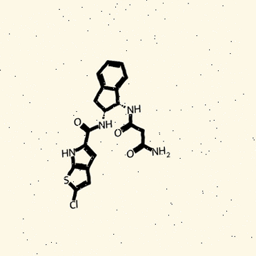 NC(=O)CC(=O)N[C@H]1c2ccccc2C[C@H]1NC(=O)c1cc2cc(Cl)sc2[nH]1